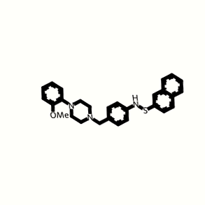 COc1ccccc1N1CCN(Cc2ccc(NSc3ccc4ccccc4c3)cc2)CC1